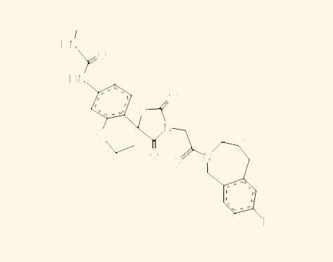 CNC(=O)Nc1ccc2c(c1)OCC[C@@]21OC(=O)N(CC(=O)N2CCCc3cc(F)ccc3C2)C1=O